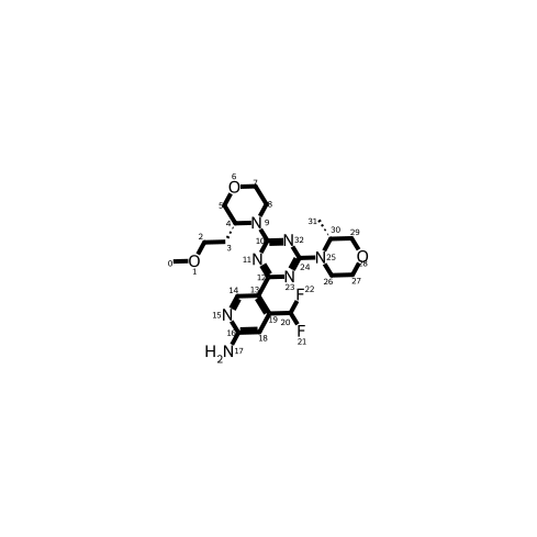 COCC[C@@H]1COCCN1c1nc(-c2cnc(N)cc2C(F)F)nc(N2CCOC[C@H]2C)n1